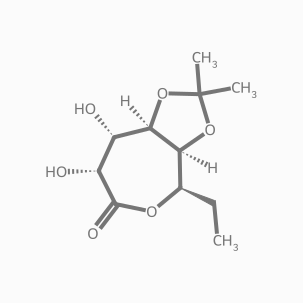 CC[C@H]1OC(=O)[C@H](O)[C@H](O)[C@H]2OC(C)(C)O[C@H]21